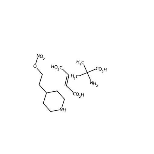 CC(C)(N)C(=O)O.O=C(O)/C=C/C(=O)O.O=[N+]([O-])OCCC1CCNCC1